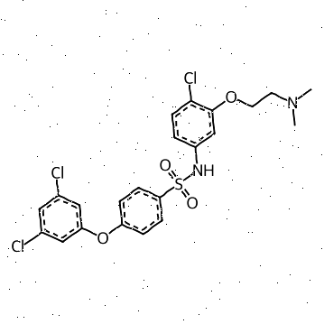 CN(C)CCOc1cc(NS(=O)(=O)c2ccc(Oc3cc(Cl)cc(Cl)c3)cc2)ccc1Cl